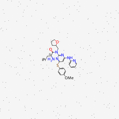 COc1ccc(Sc2cc(Nc3ccccn3)nc(N(CC3CCCO3)C(=O)[C@@H](N)CC(C)C)n2)cc1